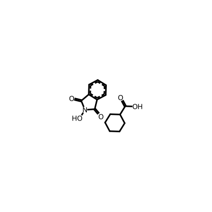 O=C(O)C1CCCCC1.O=C1c2ccccc2C(=O)N1O